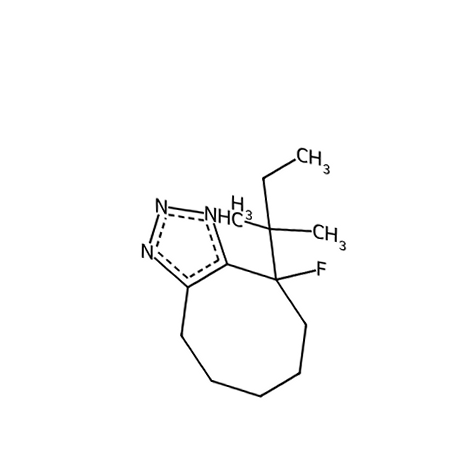 CCC(C)(C)C1(F)CCCCCc2nn[nH]c21